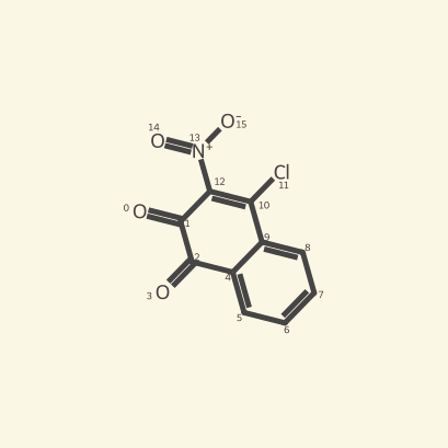 O=C1C(=O)c2ccccc2C(Cl)=C1[N+](=O)[O-]